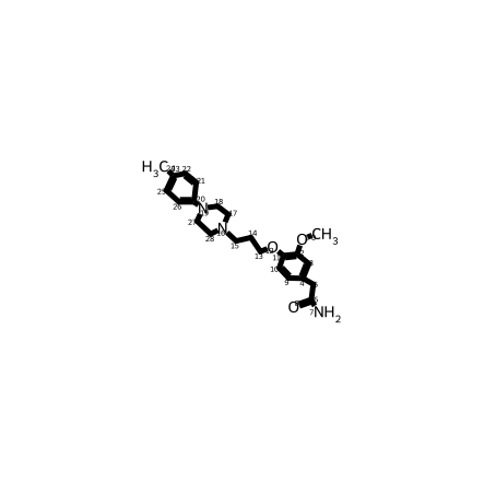 COc1cc(CC(N)=O)ccc1OCCCN1CCN(c2ccc(C)cc2)CC1